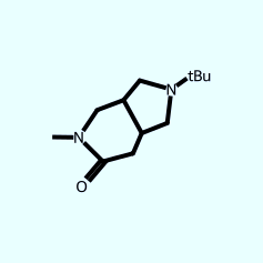 CN1CC2CN(C(C)(C)C)CC2CC1=O